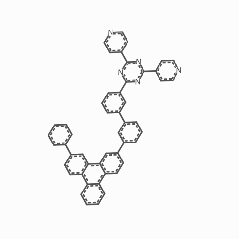 c1ccc(-c2ccc3c4ccccc4c4ccc(-c5cccc(-c6cccc(-c7nc(-c8ccncc8)nc(-c8ccncc8)n7)c6)c5)cc4c3c2)cc1